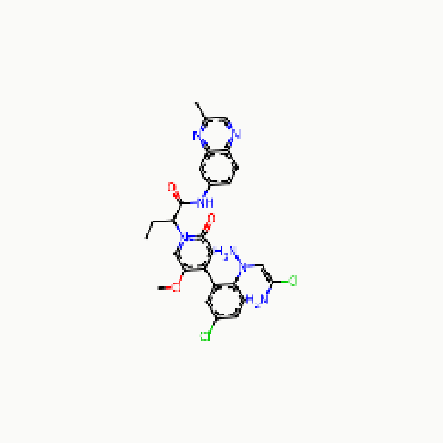 CCC(C(=O)Nc1ccc2ncc(C)nc2c1)n1cc(OC)c(-c2cc(Cl)ccc2N(N)/C=C(\N)Cl)cc1=O